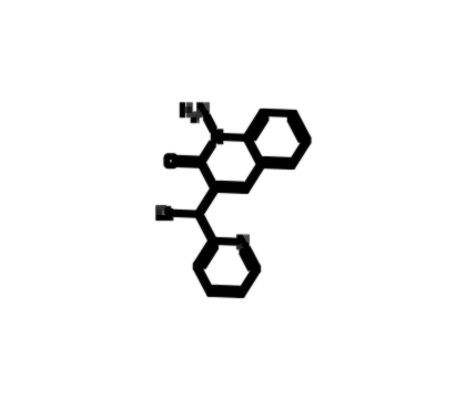 CCC(c1ccccn1)c1cc2ccccc2n(N)c1=O